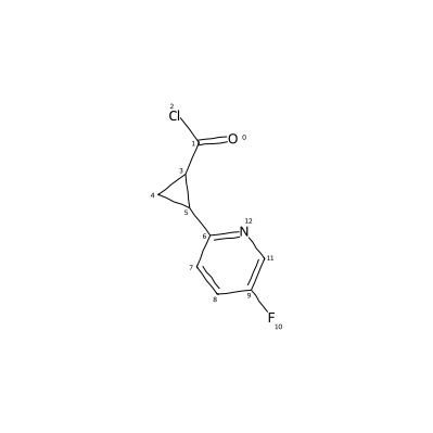 O=C(Cl)C1CC1c1ccc(F)cn1